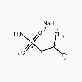 CCC(C)CS(N)(=O)=O.[NaH]